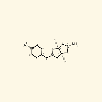 CC(=O)N1CCC(CN2C[C@H]3CN(N)C[C@H]3C2)CC1